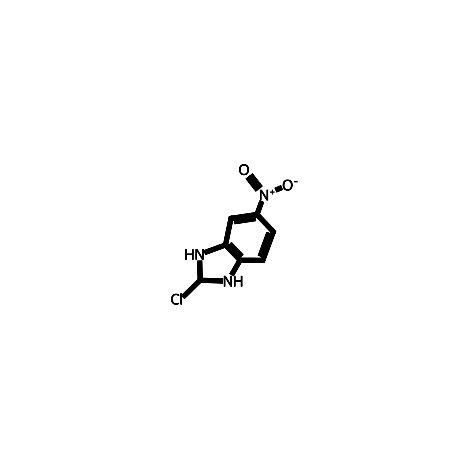 O=[N+]([O-])c1ccc2c(c1)NC(Cl)N2